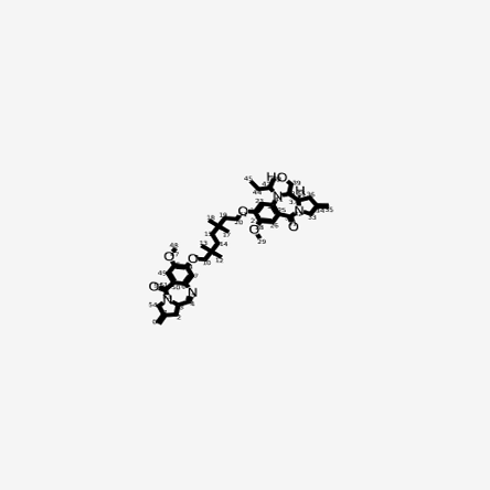 C=C1CC2C=Nc3cc(OCC(C)(C)CCC(C)(C)CCOc4cc5c(cc4OC)C(=O)N4CC(=C)C[C@H]4C(CO)N5C(C)CC)c(OC)cc3C(=O)N2C1